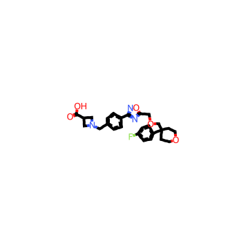 O=C(O)C1CN(Cc2ccc(-c3noc(COCC4(c5ccc(F)cc5)CCOCC4)n3)cc2)C1